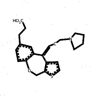 O=C(O)CCc1ccc2c(c1)C(=CCCN1CCCC1)c1ccsc1CO2